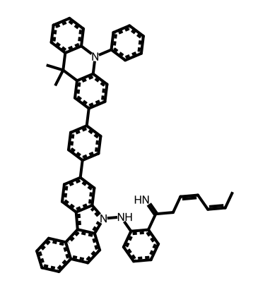 C/C=C\C=C/CC(=N)c1ccccc1Nn1c2cc(-c3ccc(-c4ccc5c(c4)C(C)(C)c4ccccc4N5c4ccccc4)cc3)ccc2c2c3ccccc3ccc21